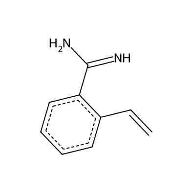 C=Cc1ccccc1C(=N)N